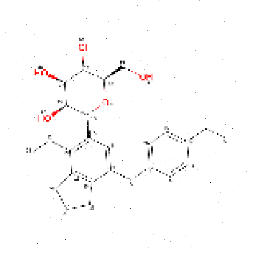 CCc1ccc(Cc2cc([C@@H]3O[C@H](CO)C(O)[C@H](O)[C@@H]3O)c(CC)c3c2CCC3)cc1